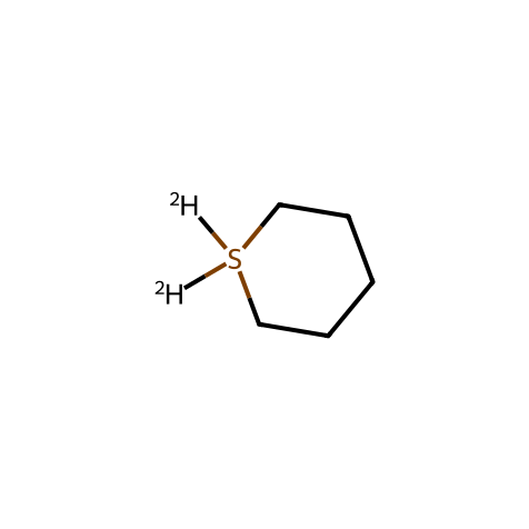 [2H]S1([2H])CCCCC1